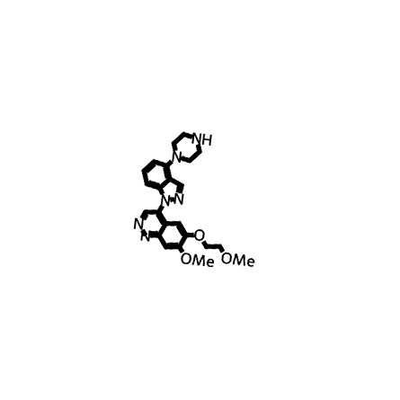 COCCOc1cc2c(-n3ncc4c(N5CCNCC5)cccc43)cnnc2cc1OC